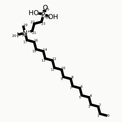 CCCCCCCCCCCCCCCCCC[N+](C)(I)CCCP(=O)(O)O